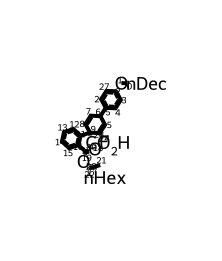 CCCCCCCCCCOc1ccc(C2C=CC(C(=O)O)(c3ccccc3C(=O)O[C@H](C)CCCCCC)C(F)=C2)cc1